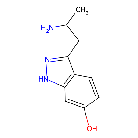 CC(N)Cc1n[nH]c2cc(O)ccc12